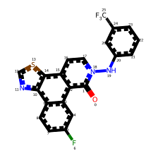 O=c1c2c3cc(F)ccc3c3ncsc3c2ccn1Nc1cccc(C(F)(F)F)c1